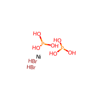 Br.Br.OP(O)O.OP(O)O.[Ni]